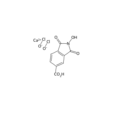 O=C(O)c1ccc2c(c1)C(=O)N(O)C2=O.[Ca+2].[O-]Cl.[O-]Cl